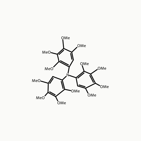 COc1cc(N(c2cc(OC)c(OC)c(OC)c2OC)c2cc(OC)c(OC)c(OC)c2OC)c(OC)c(OC)c1OC